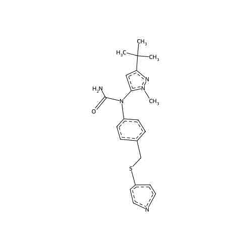 Cn1nc(C(C)(C)C)cc1N(C(N)=O)c1ccc(CSc2ccncc2)cc1